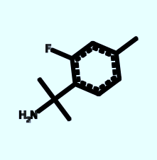 Cc1ccc(C(C)(C)N)c(F)c1